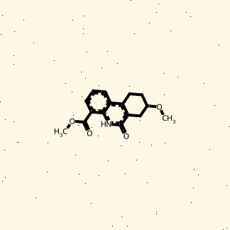 COC(=O)c1cccc2c3c(c(=O)[nH]c12)CC(OC)CC3